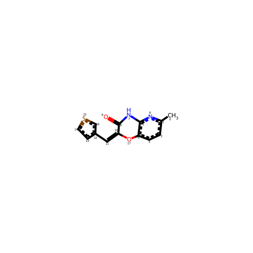 Cc1ccc2c(n1)NC(=O)C(=Cc1ccsc1)O2